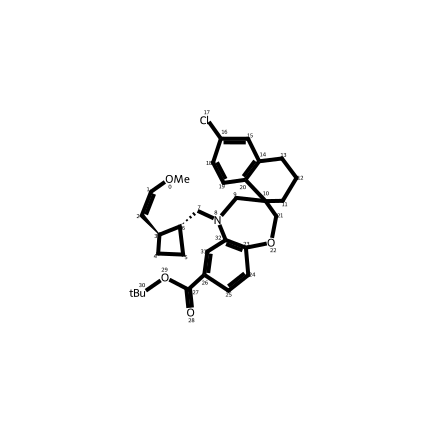 CO/C=C\[C@@H]1CC[C@H]1CN1CC2(CCCc3cc(Cl)ccc32)COc2ccc(C(=O)OC(C)(C)C)cc21